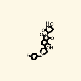 Cc1c(C2(O)CCN(Cc3ccc(F)cc3)CC2)ccc2c1C(=O)N(C1CCC(=O)NC1=O)C2=O